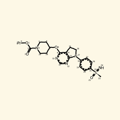 CC(C)OC(=O)N1CCC(Oc2ncnc3c2CCN3c2ccc([S@](C)(=N)=O)cc2)CC1